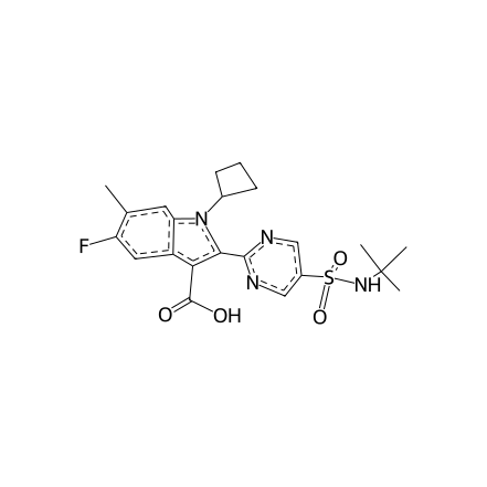 Cc1cc2c(cc1F)c(C(=O)O)c(-c1ncc(S(=O)(=O)NC(C)(C)C)cn1)n2C1CCC1